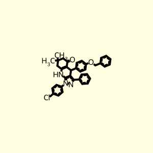 CC1(C)CC(=O)C2=C(C1)Nc1c(c(-c3ccccc3)nn1-c1ccc(Cl)cc1)C2c1ccc(OCc2ccccc2)cc1